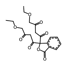 CCOCC(=O)CC(=O)C1(C(=O)CC(=O)COCC)OC(=O)c2ccccc21